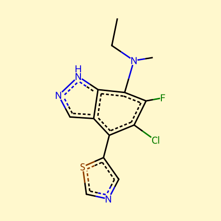 CCN(C)c1c(F)c(Cl)c(-c2cncs2)c2cn[nH]c12